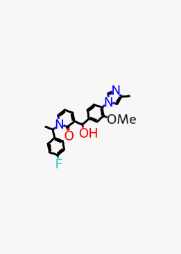 COc1cc(C(O)c2cccn(C(C)c3ccc(F)cc3)c2=O)ccc1-n1cnc(C)c1